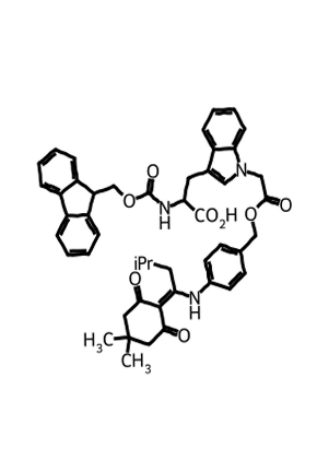 CC(C)CC(Nc1ccc(COC(=O)Cn2cc(CC(NC(=O)OCC3c4ccccc4-c4ccccc43)C(=O)O)c3ccccc32)cc1)=C1C(=O)CC(C)(C)CC1=O